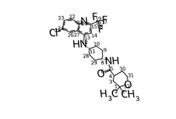 CC1(C)CC(C(=O)N[C@H]2CC[C@@H](Nc3cc(C(F)(F)F)nc4ccc(Cl)cc34)CC2)CCO1